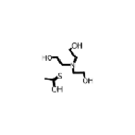 CC(O)=S.OCCN(CCO)CCO